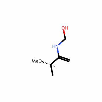 C=C(NCO)[C@H](C)OC